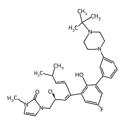 CC(C)/C=C/C(=C\[C@H](Cl)Cn1ccn(C)c1=O)c1cc(F)cc(-c2cccc(N3CCN(C(C)(C)C)CC3)c2)c1O